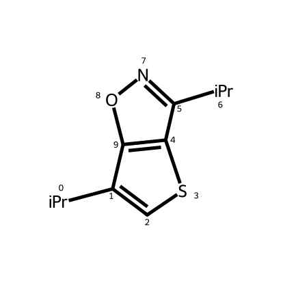 CC(C)c1csc2c(C(C)C)noc12